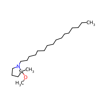 CCCCCCCCCCCCCCCCN1CCC[Si]1(C)OC